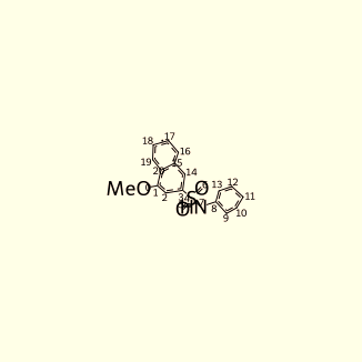 COc1cc(S(=O)(=O)Nc2ccccc2)cc2c[c]ccc12